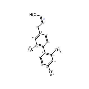 C/C=C\Cc1ccc(-c2ccc(C(F)(F)F)cc2C)c(C(F)(F)F)c1